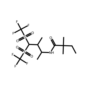 CCC(C)(C)C(=O)NC(C)C(C)C(S(=O)(=O)C(F)(F)F)S(=O)(=O)C(F)(F)F